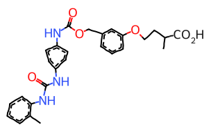 Cc1ccccc1NC(=O)Nc1ccc(NC(=O)OCc2cccc(OCCC(C)C(=O)O)c2)cc1